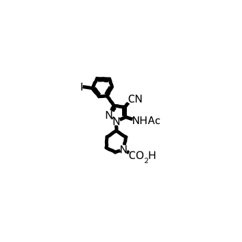 CC(=O)Nc1c(C#N)c(-c2cccc(I)c2)nn1C1CCCN(C(=O)O)C1